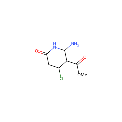 COC(=O)C1C(Cl)CC(=O)NC1N